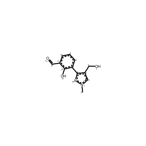 Cn1cc(CO)c(-c2cccc(C=O)c2O)n1